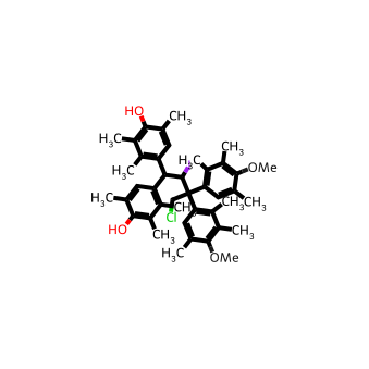 COc1c(C)cc(C(CCl)(c2cc(C)c(OC)c(C)c2C)C(I)C(c2cc(C)c(O)c(C)c2C)c2cc(C)c(O)c(C)c2C)c(C)c1C